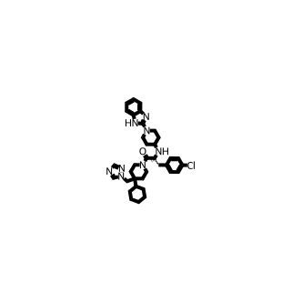 O=C([C@@H](Cc1ccc(Cl)cc1)NC1CCN(c2nc3ccccc3[nH]2)CC1)N1CCC(Cn2cncn2)(C2CCCCC2)CC1